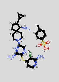 Cc1ccc(S(=O)(=O)O)cc1.Nc1nc(N2CCC3(CC=C(C4CC4)[C@H]3N)CC2)cnc1Sc1ccnc(N)c1Cl